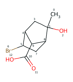 CC1(O)CC2C(Br)CC1C2C(=O)O